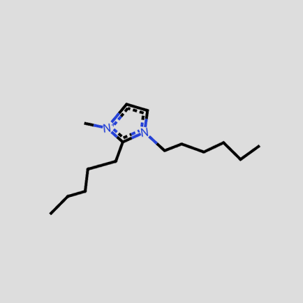 CCCCCCn1cc[n+](C)c1CCCCC